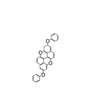 C1=c2ccc3oc4cc(Oc5ccccc5)cc5ccc6oc(c2c3-c6c54)CC1Oc1ccccc1